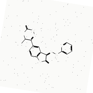 CC1SC(=O)NN=C1c1ccc2c(c1)C(=NNc1ccccn1)C(=O)N2.Cl